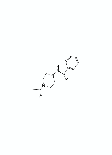 CC(=O)N1CCN(NC(=O)c2ccccn2)CC1